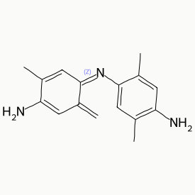 C=C1C=C(N)C(C)=C/C1=N/c1cc(C)c(N)cc1C